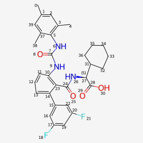 Cc1cc(C)c(NC(=O)Nc2cccc(-c3cc(F)cc(F)c3)c2C(=O)N[C@H](C(=O)O)C2CCCCC2)c(C)c1